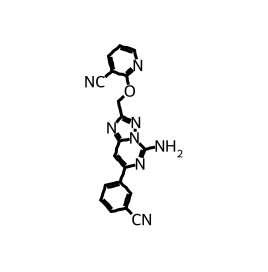 N#Cc1cccc(-c2cc3nc(COc4ncccc4C#N)nn3c(N)n2)c1